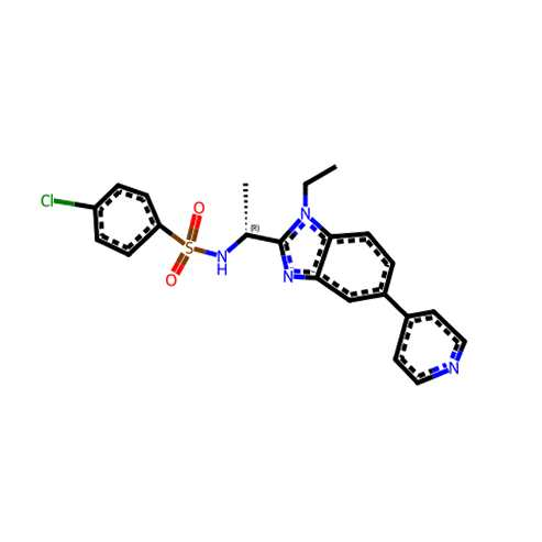 CCn1c([C@@H](C)NS(=O)(=O)c2ccc(Cl)cc2)nc2cc(-c3ccncc3)ccc21